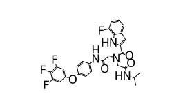 CC(C)NC(=O)CN(CC(=O)Nc1ccc(Oc2cc(F)c(F)c(F)c2)cc1)C(=O)c1cc2cccc(F)c2[nH]1